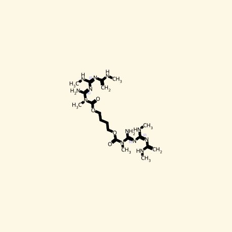 C=C(/N=C(\N=C(/N)N(C)C(=O)OCCCCOC(=O)N(C)/C(N)=N/C(=N\C(=C)NC)NC)NC)NC